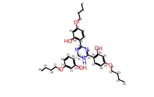 CCCCOc1ccc(C2=N[C@@H](c3ccc(OCCCC)cc3O)NC(c3ccc(OCCCC)cc3O)=N2)c(O)c1